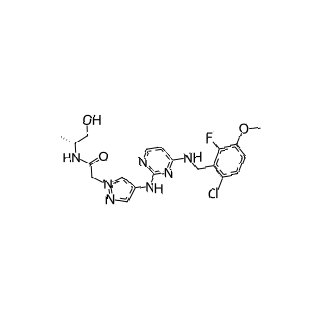 COc1ccc(Cl)c(CNc2ccnc(Nc3cnn(CC(=O)N[C@H](C)CO)c3)n2)c1F